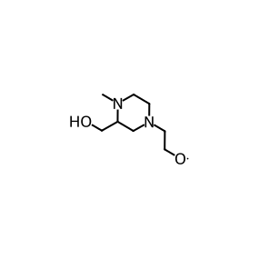 CN1CCN(CC[O])CC1CO